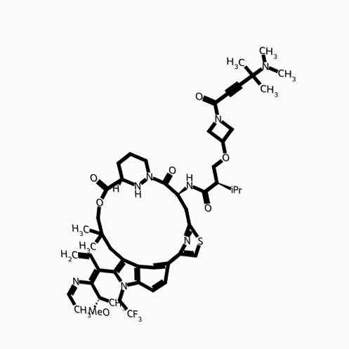 C=C/C(=C(\N=C/C)[C@H](C)OC)c1c2c3cc(ccc3n1CC(F)(F)F)-c1csc(n1)C[C@H](NC(=O)[C@@H](COC1CN(C(=O)C#CC(C)(C)N(C)C)C1)C(C)C)C(=O)N1CCC[C@H](N1)C(=O)OCC(C)(C)C2